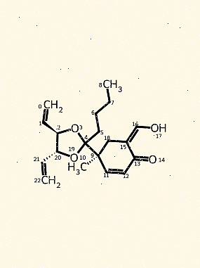 C=C[C@H]1OC(CCCC)([C@]2(C)C=CC(=O)/C(=C\O)C2)O[C@@H]1C=C